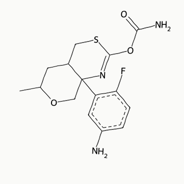 CC1CC2CSC(OC(N)=O)=NC2(c2cc(N)ccc2F)CO1